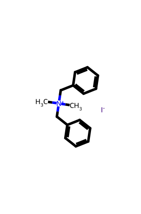 C[N+](C)(Cc1ccccc1)Cc1ccccc1.[I-]